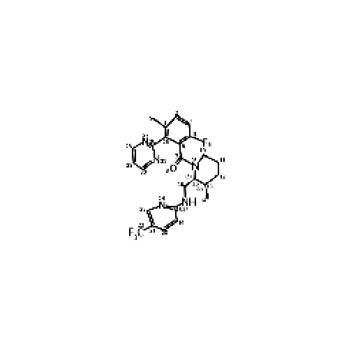 Cc1ccc(F)c(C(=O)N2CCC[C@@H](C)[C@H]2CNc2ccc(C(F)(F)F)cn2)c1-c1ncccn1